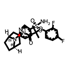 CC(C)(Oc1ccc(F)cc1F)C(=O)N[C@H]1C[C@H]2CC[C@@H](C1)N2c1ccc(S(N)(=O)=O)cn1